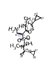 CN(NC(=O)/C(=C\N)S(=O)(=O)NN(C)C(=S)C1CC1)C(=S)C1CC1